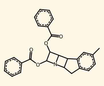 Cc1ccc2c(c1)C1C(C2)N2C(OC(=O)c3ccccc3)C(OC(=O)c3ccccc3)C12